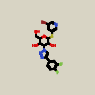 OCC1OC(Sc2cncc(Br)c2)C(O)C(n2cc(-c3ccc(F)c(F)c3)nn2)C1O